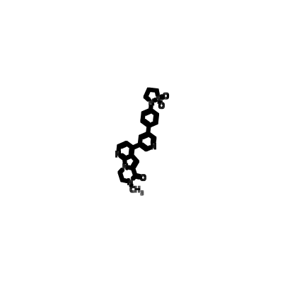 CN1CCn2c(cc3c(-c4cncc(-c5ccc(N6CCCS6(=O)=O)cc5)c4)ccnc32)C1=O